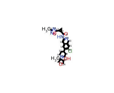 Cc1noc(C2CC2C(=O)Nc2cc3cc(C4CCN(C5(C)COCC5O)CC4)c(Cl)cc3cn2)n1